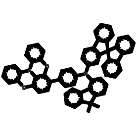 CC1(C)c2ccccc2-c2c(N(c3ccc(-c4ccc5c6c4Oc4ccccc4N6c4ccccc4O5)cc3)c3ccc4c(c3)C3(c5ccccc5-c5ccccc53)c3ccccc3-4)cccc21